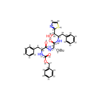 CC(C)CO[C@H](NC(=O)[C@H](Cc1ccccc1)NC(=O)OCc1ccccc1)C(=O)NC(Cc1ccccc1)[C@@H](O)c1nccs1